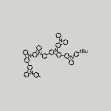 Cc1ccc(-n2c3ccccc3c3cc(-c4ccc5c6ccccc6n(-c6ccc7c(c6)c6ccccc6n7-c6cccc(-c7ccc8c(c7)c7ccc(-c9ccc%10c(c9)c9ccccc9n%10-c9ccc(C(C)(C)C)cc9)cc7n8-c7ccc8c(c7)c7ccccc7n8-c7ccccc7)c6)c5c4)ccc32)cc1